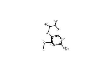 [2H]C(F)C([2H])Oc1cnc(N)nc1OC